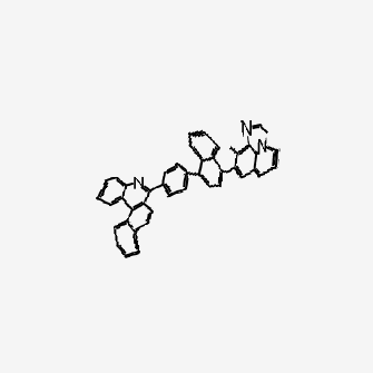 C/C=N\c1c(C)c(-c2ccc(-c3ccc(-c4nc5ccccc5c5c4ccc4ccccc45)cc3)c3ccccc23)cc2cccnc12